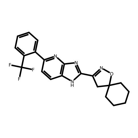 FC(F)(F)c1ccccc1-c1ccc2[nH]c(C3=NOC4(CCCCC4)C3)nc2n1